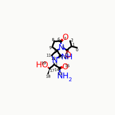 CC(C)C(=O)N1C(=O)CCC12CN([C@H](C(N)=O)[C@@H](C)O)C2=N